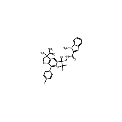 Cn1c(C(=O)NCC(O)(c2cc3c(c(-c4ccc(F)cc4)n2)OC[C@]3(C)C(N)=O)C(F)(F)F)cc2ccccc21